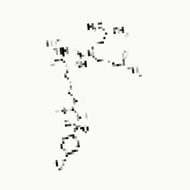 CNC(=O)[C@H](CCCNC(=N)NS(=O)(=O)c1ccc(C)cc1)NC(=O)N(CCSC(C)=O)CCC(C)C